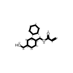 C1CCCCC1.C=CC(=O)OCC1CCC(CO)CC1